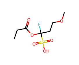 CCC(=O)OC(F)(CCOC)S(=O)(=O)O